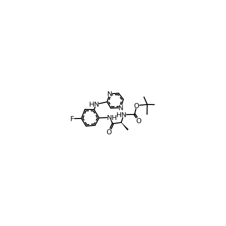 C[C@H](NC(=O)OC(C)(C)C)C(=O)Nc1ccc(F)cc1Nc1cnccn1